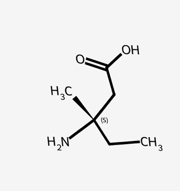 CC[C@](C)(N)CC(=O)O